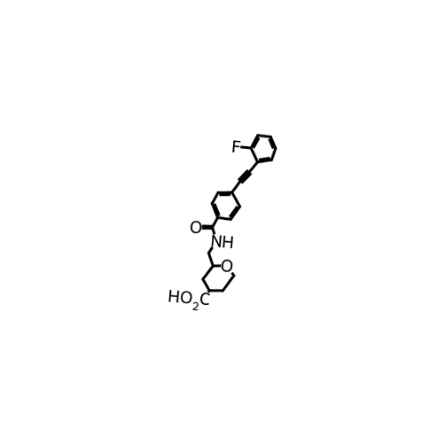 O=C(NCC1CC(C(=O)O)CCO1)c1ccc(C#Cc2ccccc2F)cc1